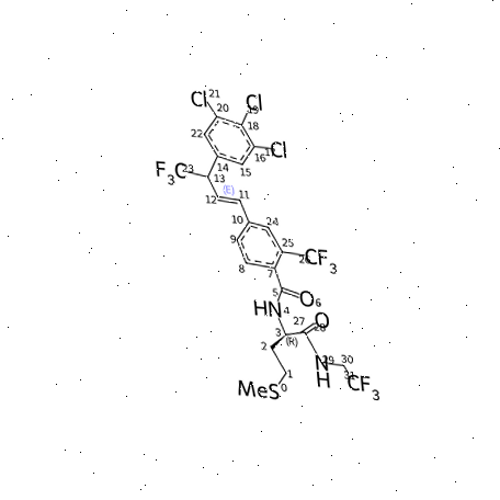 CSCC[C@@H](NC(=O)c1ccc(/C=C/C(c2cc(Cl)c(Cl)c(Cl)c2)C(F)(F)F)cc1C(F)(F)F)C(=O)NCC(F)(F)F